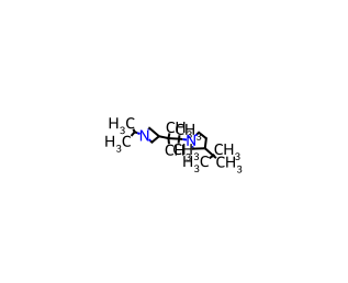 CC(C)N1CC(C(C)(C)C(C)(C)N2CCC(C(C)(C)C)C2)C1